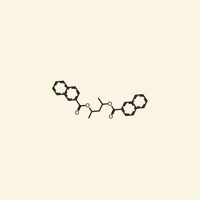 CC(CC(C)OC(=O)c1ccc2ccccc2c1)OC(=O)c1ccc2ccccc2c1